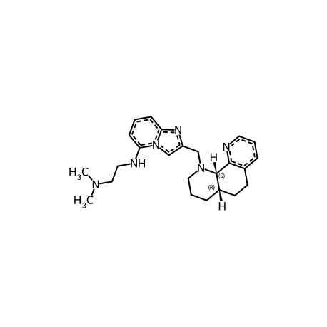 CN(C)CCNc1cccc2nc(CN3CCC[C@H]4CCc5cccnc5[C@H]43)cn12